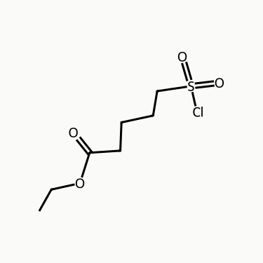 CCOC(=O)CCCCS(=O)(=O)Cl